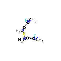 CC[n+]1ccc(/C=C/c2ccc(N(C)CCSSCCN(C)c3ccc(/C=C/c4cc[n+](CC)c(F)c4)cc3)cc2)cc1F